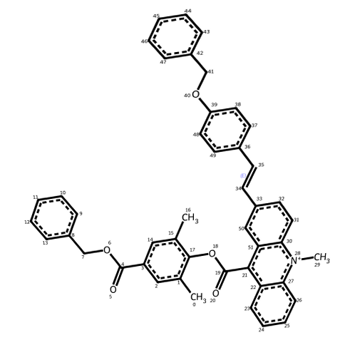 Cc1cc(C(=O)OCc2ccccc2)cc(C)c1OC(=O)c1c2ccccc2[n+](C)c2ccc(/C=C/c3ccc(OCc4ccccc4)cc3)cc12